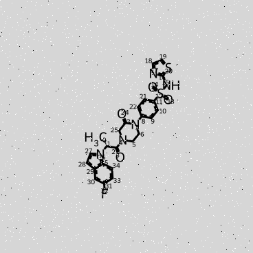 C[C@H](C(=O)N1CCN(c2ccc(S(=O)(=O)Nc3nccs3)cc2)C(=O)C1)n1ccc2cc(F)ccc21